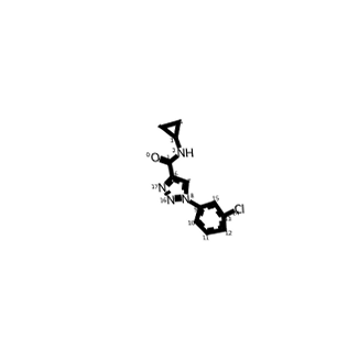 O=C(NC1CC1)c1cn(-c2cccc(Cl)c2)nn1